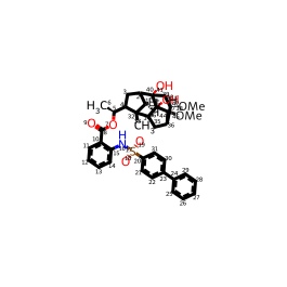 CC[C@@H]1C2CC([C@H](C)OC(=O)c3ccccc3NS(=O)(=O)c3ccc(-c4ccccc4)cc3)C1(C)C1CC3[C@@H](OC)C[C@]2(O)[C@]1(O)[C@H]3OC